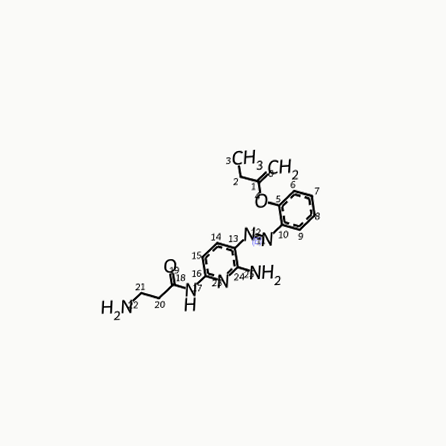 C=C(CC)Oc1ccccc1/N=N/c1ccc(NC(=O)CCN)nc1N